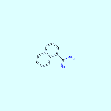 N=C(N)c1cccc2ccccc12